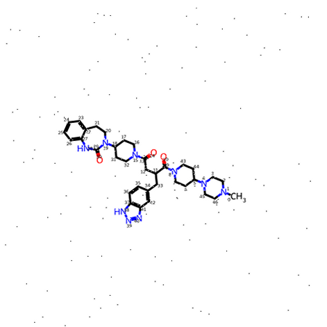 CN1CCN(C2CCN(C(=O)C(CC(=O)N3CCC(N4CCc5ccccc5NC4=O)CC3)Cc3ccc4[nH]nnc4c3)CC2)CC1